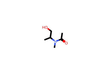 CC(=O)N(C)C(C)CO